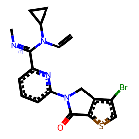 C=CN(/C(=N\C)c1cccc(N2Cc3c(Br)csc3C2=O)n1)C1CC1